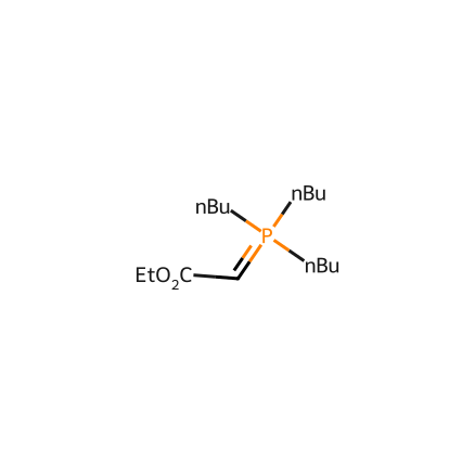 CCCCP(=CC(=O)OCC)(CCCC)CCCC